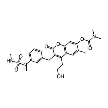 CNS(=O)(=O)Nc1cccc(Cc2c(CCO)c3cc(I)c(OC(=O)N(C)C)cc3oc2=O)c1